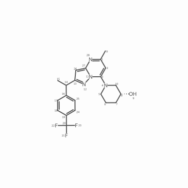 Cc1cc(N2CCC[C@@H](O)C2)n2nc(C(C)c3ccc(C(F)(F)F)cc3)cc2n1